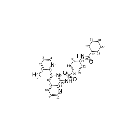 Cc1cccnc1-c1cc2cccnc2c(NS(=O)(=O)c2ccc(NC(=O)C3CCCCC3)cc2)n1